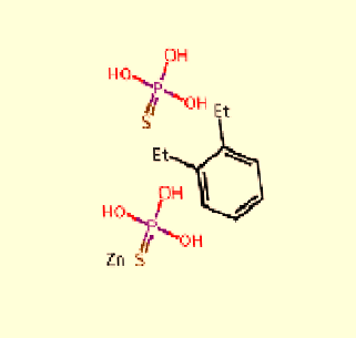 CCc1ccccc1CC.OP(O)(O)=S.OP(O)(O)=S.[Zn]